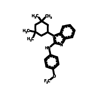 CC1(C)CC(n2c(Nc3ccc(OC(F)(F)F)cc3)nc3ccccc32)CC(C)(C)C1